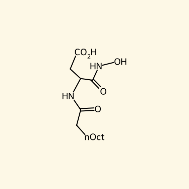 CCCCCCCCCC(=O)NC(CC(=O)O)C(=O)NO